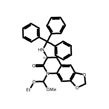 CCOC(OC)N1C(=O)[C@@H](NC(c2ccccc2)(c2ccccc2)c2ccccc2)Cc2cc3c(cc21)OCO3